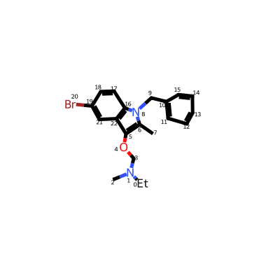 CCN(C)COc1c(C)n(Cc2ccccc2)c2ccc(Br)cc12